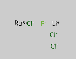 [Cl-].[Cl-].[Cl-].[F-].[Li+].[Ru+3]